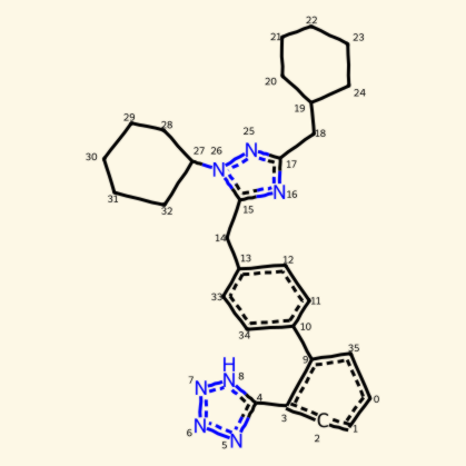 c1ccc(-c2nnn[nH]2)c(-c2ccc(Cc3nc(CC4CCCCC4)nn3C3CCCCC3)cc2)c1